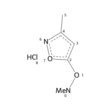 CNOc1cc(C)no1.Cl